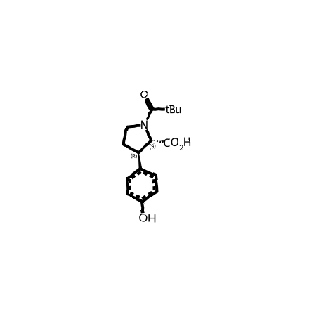 CC(C)(C)C(=O)N1CC[C@H](c2ccc(O)cc2)[C@H]1C(=O)O